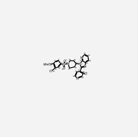 COc1ccc(S(=O)(=O)N2CCC(n3c(-c4ccncc4Cl)nc4cccnc43)CC2)cc1Cl